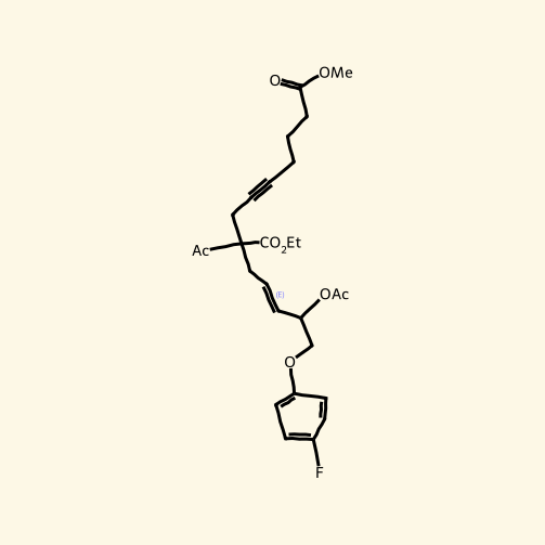 CCOC(=O)C(CC#CCCCC(=O)OC)(C/C=C/C(COc1ccc(F)cc1)OC(C)=O)C(C)=O